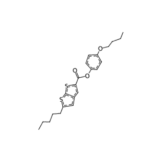 CCCCCc1cc2cc(C(=O)Oc3ccc(OCCCC)cc3)sc2s1